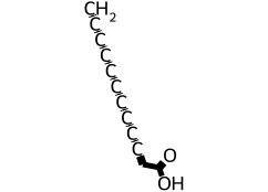 C=C=C=C=C=C=C=C=C=C=CC(=O)O